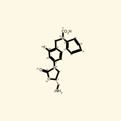 NC[C@H]1CN(c2ccc(CN(C(=O)O)c3ccccc3)c(F)c2)C(=O)O1